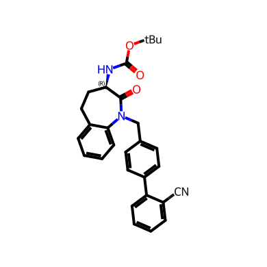 CC(C)(C)OC(=O)N[C@@H]1CCc2ccccc2N(Cc2ccc(-c3ccccc3C#N)cc2)C1=O